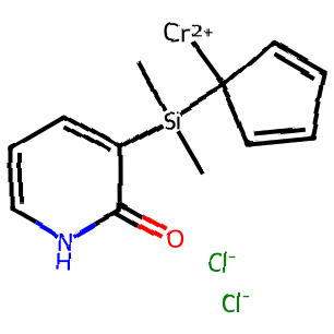 C[Si](C)(c1ccc[nH]c1=O)[C]1([Cr+2])C=CC=C1.[Cl-].[Cl-]